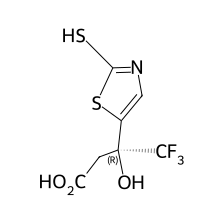 O=C(O)C[C@](O)(c1cnc(S)s1)C(F)(F)F